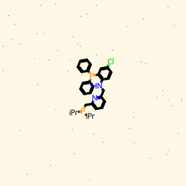 CC(C)P(Cc1cccc(CNc2ccc(Cl)cc2P(c2ccccc2)c2ccccc2)n1)C(C)C